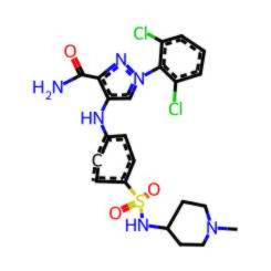 CN1CCC(NS(=O)(=O)c2ccc(Nc3cn(-c4c(Cl)cccc4Cl)nc3C(N)=O)cc2)CC1